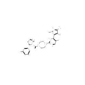 Cc1c(N)nn(C)c1-c1nc(N2CCN(C(=O)N3N=CC[C@H]3c3cc(F)cc(F)c3)CC2)ncc1F